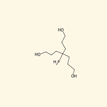 OCCCC(P)(CCCO)CCCO